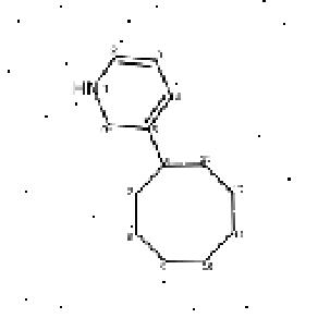 [C]1NC=CC=C1C1CCCCCCC1